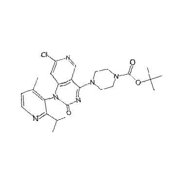 Cc1ccnc(C(C)C)c1-n1c(=O)nc(N2CCN(C(=O)OC(C)(C)C)CC2)c2cnc(Cl)cc21